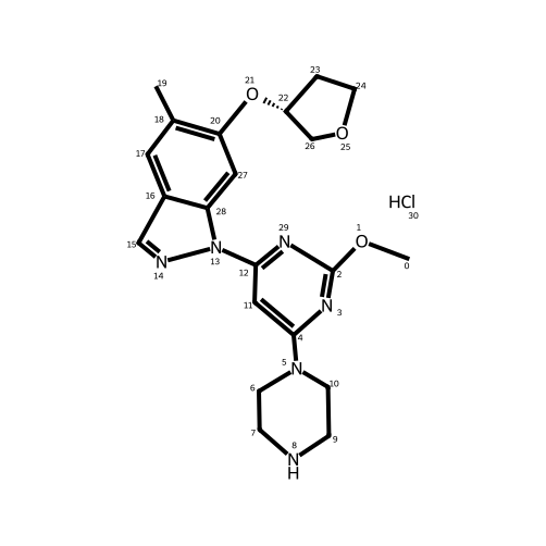 COc1nc(N2CCNCC2)cc(-n2ncc3cc(C)c(O[C@@H]4CCOC4)cc32)n1.Cl